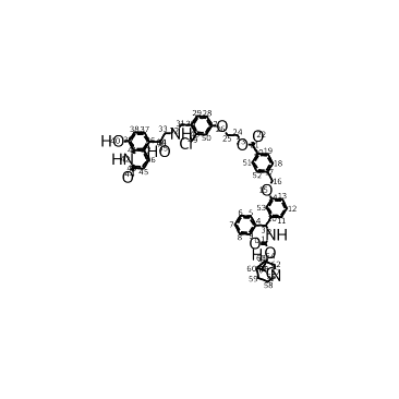 O=C(NC(c1ccccc1)c1cccc(OCc2ccc(C(=O)OCCOc3ccc(CNC[C@H](O)c4ccc(O)c5[nH]c(=O)ccc45)c(Cl)c3)cc2)c1)O[C@H]1CN2CCC1CC2